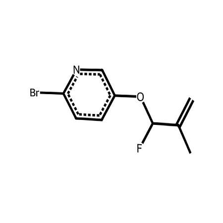 C=C(C)C(F)Oc1ccc(Br)nc1